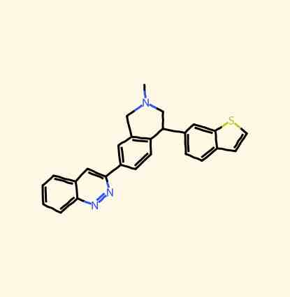 CN1Cc2cc(-c3cc4ccccc4nn3)ccc2C(c2ccc3ccsc3c2)C1